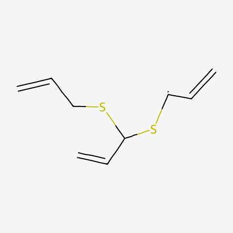 C=C[CH]SC(C=C)SCC=C